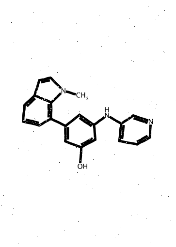 Cn1ccc2cccc(-c3cc(O)cc(Nc4cccnc4)c3)c21